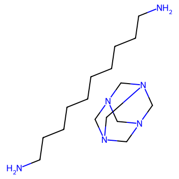 C1N2CN3CN1CN(C2)C3.NCCCCCCCCCCN